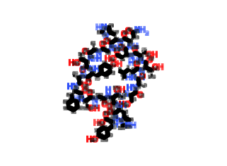 CC(C)C[C@H](NC(=O)[C@H](C)NC(=O)[C@@H](N)CO)C(=O)N[C@H](C(=O)N[C@@H](CO)C(=O)N[C@@H](CC(=O)O)C(=O)N[C@@H](CC(N)=O)C(=O)N[C@@H](Cc1c[nH]cn1)C(=O)NCC(=O)N[C@@H](C)C(=O)N[C@H](C(=O)N[C@@H](Cc1ccc(O)cc1)C(=O)N[C@@H](C)C(=O)N[C@@H](Cc1ccccc1)C(=O)N[C@@H](CO)C(=O)NCC(=O)N[C@H](C(=O)N[C@@H](Cc1c[nH]cn1)C(=O)N[C@@H](Cc1ccc(O)cc1)C(=O)O)[C@@H](C)O)[C@@H](C)O)[C@@H](C)O